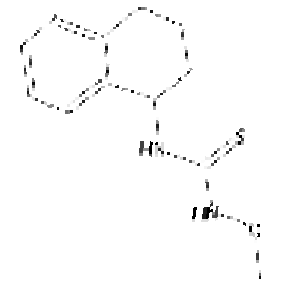 CONC(=S)NC1CCCc2ccccc21